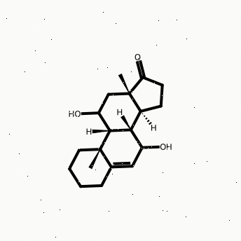 C[C@]12CCCCC1=CC(O)[C@@H]1[C@H]2C(O)C[C@]2(C)C(=O)CC[C@@H]12